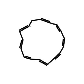 [C]1=C/C=C/C=C\C=C\C=C\C=C/C=C/C=C/C/1